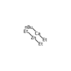 CCC[CH2][Ca][CH2]C.C[CH2][Zn][CH2]C